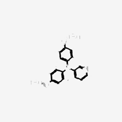 CC(C)(C)Oc1ccc([S+](c2ccc(OC(C)(C)C)cc2)c2cccnc2)cc1